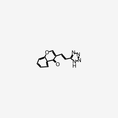 O=c1c(C=Cc2nnn[nH]2)coc2ccccc12